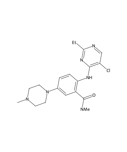 CCc1ncc(Cl)c(Nc2ccc(N3CCN(C)CC3)cc2C(=O)NC)n1